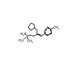 Cc1ccc(N=C(CC[Si](C)(C)C)SC2CCCC2)cc1